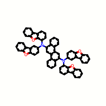 c1ccc2c(c1)oc1ccc(N(c3cc4c5ccccc5c(N(c5ccc6oc7ccccc7c6c5)c5cccc6c5oc5ccccc56)cc4c4ccccc34)c3cccc4c3oc3ccccc34)cc12